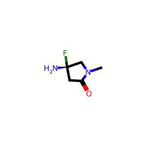 CN1C[C@@](N)(F)CC1=O